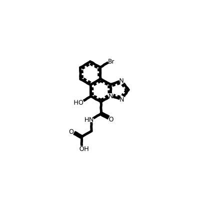 O=C(O)CNC(=O)c1c(O)c2cccc(Br)c2c2ncnn12